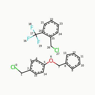 ClCc1ccc(OCc2ccccc2)cc1.FC(F)(F)c1ccccc1CCl